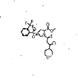 COC(=O)C1C[C@@H](S(=O)(=O)c2ccccc2C(F)(F)F)CN1C(=S)CC(=O)C1CCOCC1